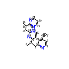 CC(C)c1ccnc(CC(C)c2ccnc(CC(C)c3ncccn3)n2)c1